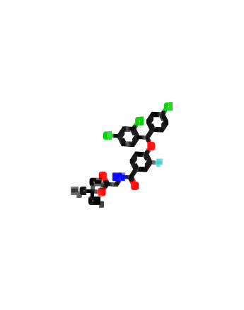 CC(C)(C)OC(=O)CNC(=O)c1ccc(OC(c2ccc(Cl)cc2)c2ccc(Cl)cc2Cl)c(F)c1